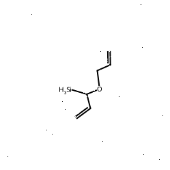 C=CCOC([SiH3])C=C